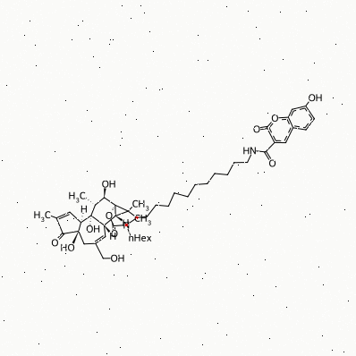 CCCCCCN(CCCCCCCCCCCCNC(=O)c1cc2ccc(O)cc2oc1=O)C(=O)O[C@@]12[C@H](O)[C@@H](C)[C@@]3(O)[C@@H](C=C(CO)C[C@]4(O)C(=O)C(C)=C[C@@H]34)[C@H]1C2(C)C